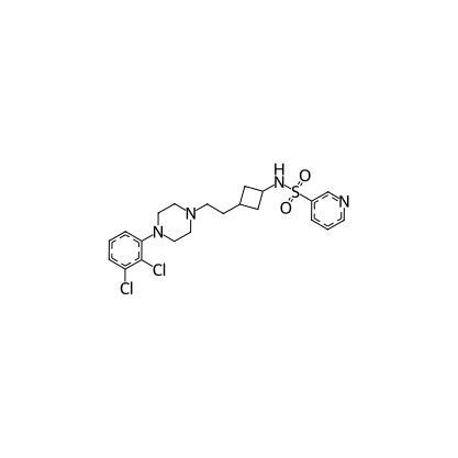 O=S(=O)(NC1CC(CCN2CCN(c3cccc(Cl)c3Cl)CC2)C1)c1cccnc1